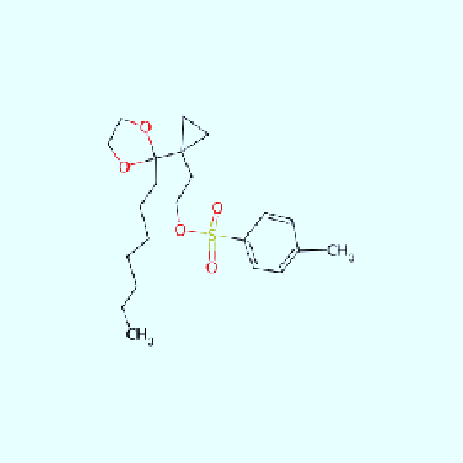 CCCCCCCC1(C2(CCOS(=O)(=O)c3ccc(C)cc3)CC2)OCCO1